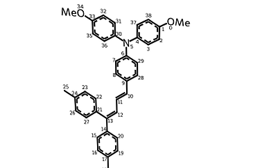 COc1ccc(N(c2ccc(/C=C/C=C(c3ccc(C)cc3)c3ccc(C)cc3)cc2)c2ccc(OC)cc2)cc1